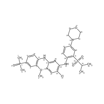 COc1cc(P(C)(C)=O)ccc1Nc1ncc(Cl)c(Nc2ccc(N3CCOCC3)cc2S(=O)(=O)C(C)C)n1